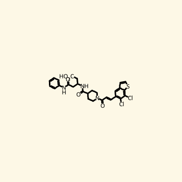 O=C(O)CC(CC(=O)Nc1ccccc1)NC(=O)C1CCN(C(=O)C=Cc2cc3ccsc3c(Cl)c2Cl)CC1